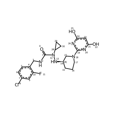 O=C(NCc1ccc(Cl)cc1F)N(N[C@@H]1CCCN(c2nc(O)cc(O)n2)C1)C1CC1